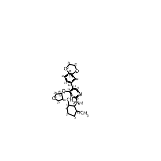 CC1CCCC(C)C1Nc1ncc(-c2ccc3c(c2)OCCO3)c(O[C@@H]2CCOC2)n1